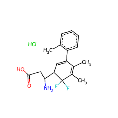 CC1=C(C)C(F)(F)C(C(N)CC(=O)O)C=C1c1ccccc1C.Cl